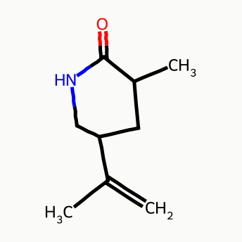 C=C(C)C1CNC(=O)C(C)C1